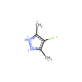 [CH2]c1[nH]nc(C)c1F